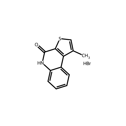 Br.Cc1csc2c(=O)[nH]c3ccccc3c12